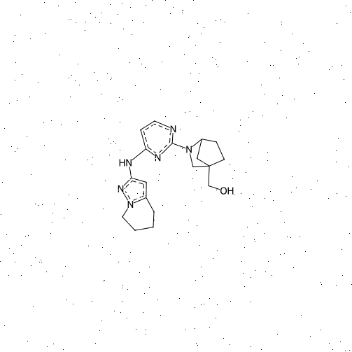 OCC12CCC(C1)N(c1nccc(Nc3cc4n(n3)CCCC4)n1)C2